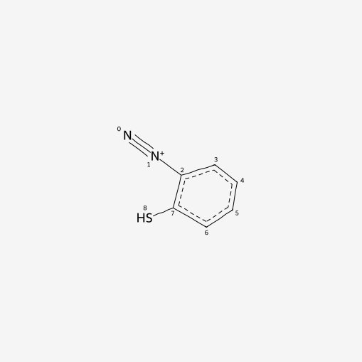 N#[N+]c1ccccc1S